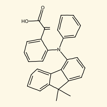 C=C(C(=O)O)c1ccccc1N(c1ccccc1)c1cccc2c1-c1ccccc1C2(C)C